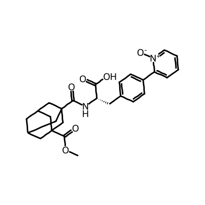 COC(=O)C12CC3CC(CC(C(=O)N[C@@H](Cc4ccc(-c5cccc[n+]5[O-])cc4)C(=O)O)(C3)C1)C2